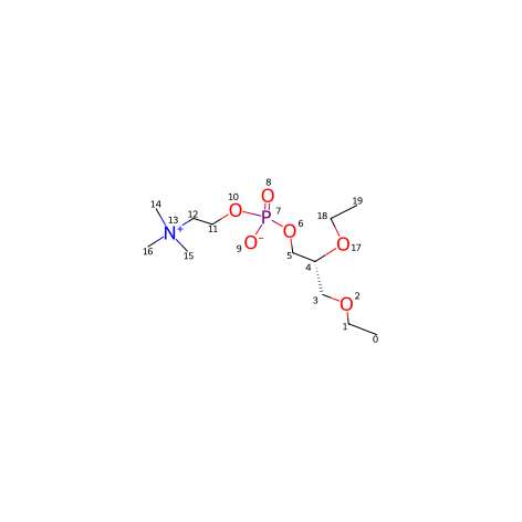 CCOC[C@H](COP(=O)([O-])OCC[N+](C)(C)C)OCC